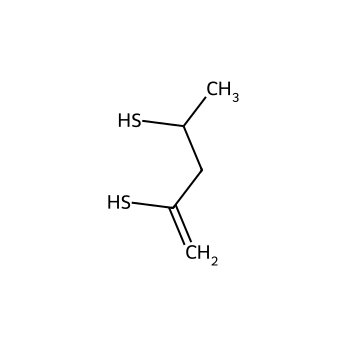 C=C(S)CC(C)S